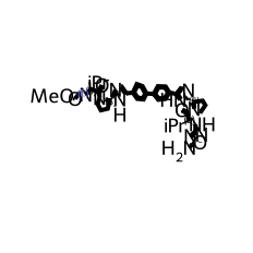 COO/C=N/[C@H](C(=O)N1CCC[C@H]1c1ncc(-c2ccc(-c3ccc(-c4cnc([C@@H]5CCCN5C(=O)[C@@H](Nc5noc(N)n5)C(C)C)[nH]4)cc3)cc2)[nH]1)C(C)C